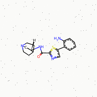 Nc1ccccc1-c1cnc(C(=O)N[C@H]2CN3CCC2CC3)s1